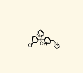 OC(c1ccc(CN2CCCC2)cc1)(c1cccc(Cl)c1)c1ccccn1